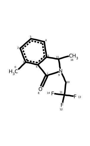 Cc1cccc2c1C(=O)N(CC(F)(F)F)C2C